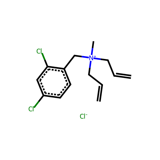 C=CC[N+](C)(CC=C)Cc1ccc(Cl)cc1Cl.[Cl-]